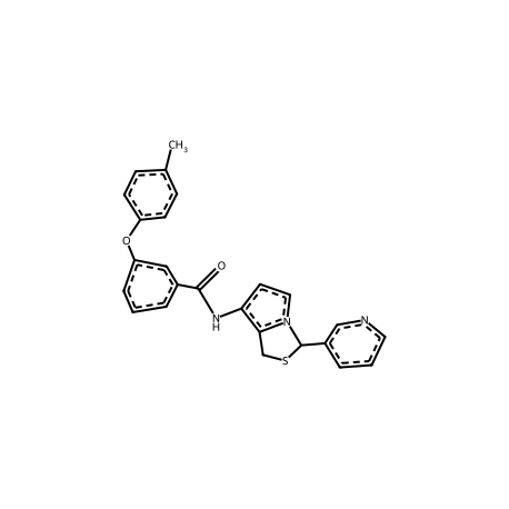 Cc1ccc(Oc2cccc(C(=O)Nc3ccn4c3CSC4c3cccnc3)c2)cc1